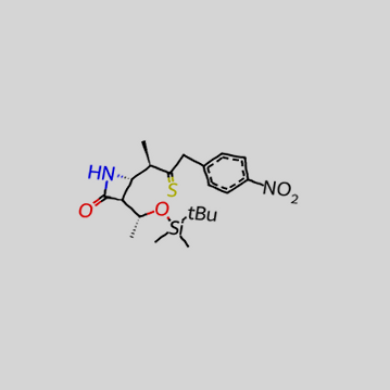 C[C@@H](O[Si](C)(C)C(C)(C)C)[C@H]1C(=O)N[C@@H]1[C@@H](C)C(=S)Cc1ccc([N+](=O)[O-])cc1